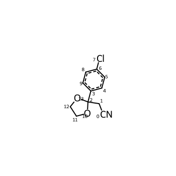 N#CCC1(c2ccc(Cl)cc2)OCCO1